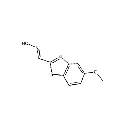 COc1ccc2sc(C=NO)nc2c1